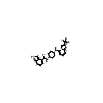 O=C(N[C@H]1CC[C@@H](Nc2cccc3nc(C(F)(F)F)cn23)CC1)c1cccc2n[nH]cc12